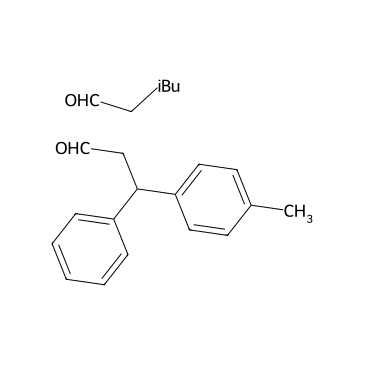 CCC(C)CC=O.Cc1ccc(C(CC=O)c2ccccc2)cc1